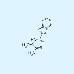 CN(NC(=O)c1cc2ccccc2s1)C(N)=S